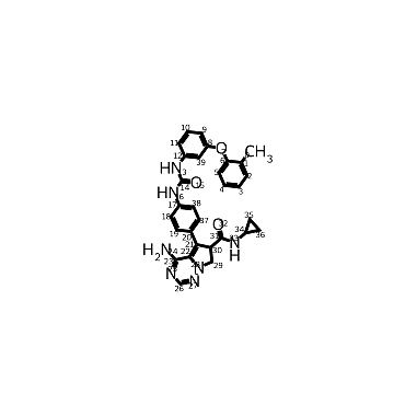 Cc1ccccc1Oc1cccc(NC(=O)Nc2ccc(C3=C4C(N)=NC=NN4CC3C(=O)NC3CC3)cc2)c1